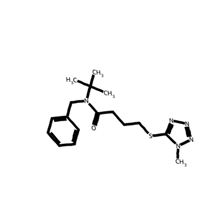 Cn1nnnc1SCCCC(=O)N(Cc1ccccc1)C(C)(C)C